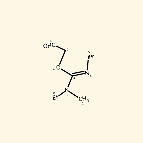 CCN(C)C(=NC(C)C)OCC=O